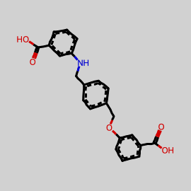 O=C(O)c1cccc(NCc2ccc(COc3cccc(C(=O)O)c3)cc2)c1